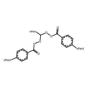 [CH2]CCCCC[C](OOC(=O)c1ccc(CCCCC)cc1)OOC(=O)c1ccc(CCCCC)cc1